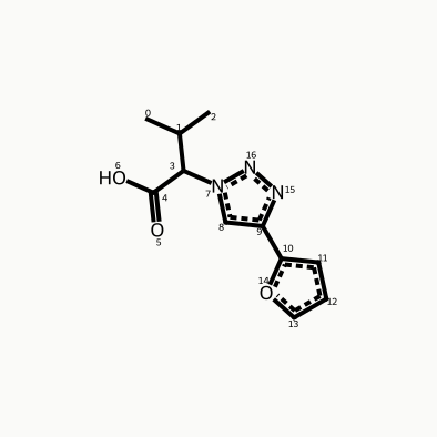 CC(C)C(C(=O)O)n1cc(-c2ccco2)nn1